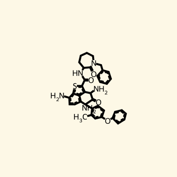 Cc1cc(Oc2ccccc2)ccc1C1(N)C(=O)C(N)c2c(C(=O)NC3CCCCN(Cc4ccccc4)C3=O)sc3c(N)ccc1c23